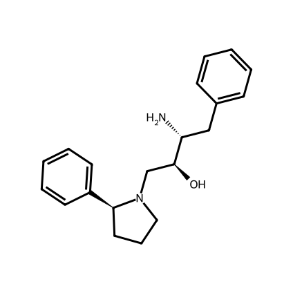 N[C@H](Cc1ccccc1)[C@@H](O)CN1CCC[C@H]1c1ccccc1